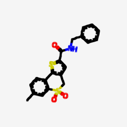 Cc1ccc2c(c1)S(=O)(=O)Cc1cc(C(=O)NCc3ccccc3)sc1-2